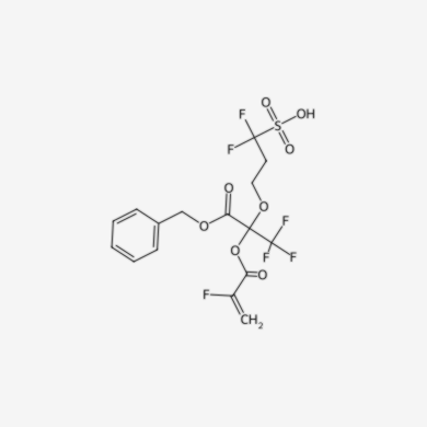 C=C(F)C(=O)OC(OCCC(F)(F)S(=O)(=O)O)(C(=O)OCc1ccccc1)C(F)(F)F